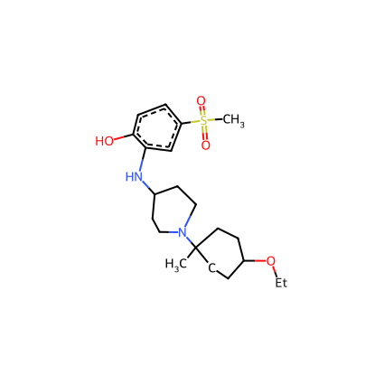 CCOC1CCC(C)(N2CCC(Nc3cc(S(C)(=O)=O)ccc3O)CC2)CC1